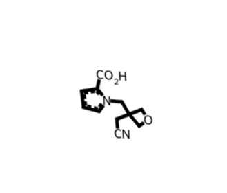 N#CCC1(Cn2cccc2C(=O)O)COC1